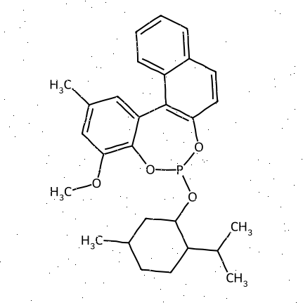 COc1cc(C)cc2c1op(OC1CC(C)CCC1C(C)C)oc1ccc3ccccc3c12